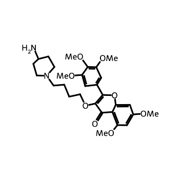 COc1cc(OC)c2c(=O)c(OCCCCN3CCC(N)CC3)c(-c3cc(OC)c(OC)c(OC)c3)oc2c1